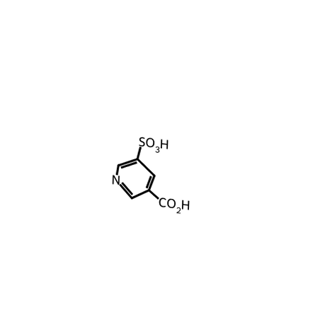 O=C(O)c1cncc(S(=O)(=O)O)c1